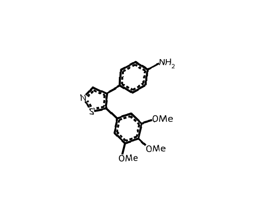 COc1cc(-c2sncc2-c2ccc(N)cc2)cc(OC)c1OC